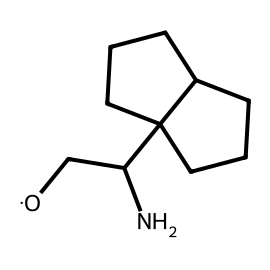 NC(C[O])C12CCCC1CCC2